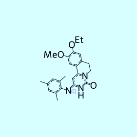 CCOc1cc2c(cc1OC)-c1c/c(=N\c3c(C)cc(C)cc3C)[nH]c(=O)n1CC2